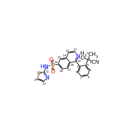 CC(C)(C#N)c1ccccc1-c1nccc2cc(S(=O)(=O)Nc3nccs3)ccc12